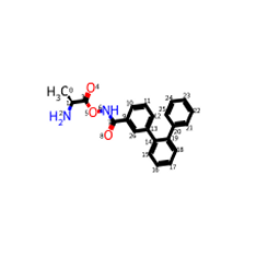 C[C@H](N)C(=O)ONC(=O)c1cccc(-c2ccccc2-c2ccccc2)c1